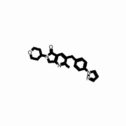 Cc1nc2c(cc1Cc1ccc(-n3cccn3)cc1)C(=O)N(C1CCOCC1)C2